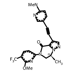 CNc1ccc(C#Cc2cnn3c2C(=O)N(c2ccc(C(F)(F)F)c(OC)n2)C[C@@H]3C)cn1